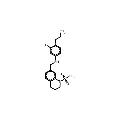 CCCc1ccc(NCc2ccc3c(c2)N(S(C)(=O)=O)CCC3)cc1F